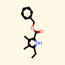 CCc1[nH]c(C(=O)OCc2ccccc2)c(C)c1C